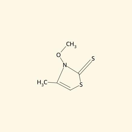 COn1c(C)csc1=S